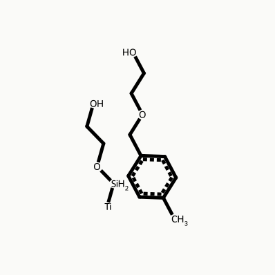 Cc1ccc(COCCO)cc1.OCCO[SiH2][Ti]